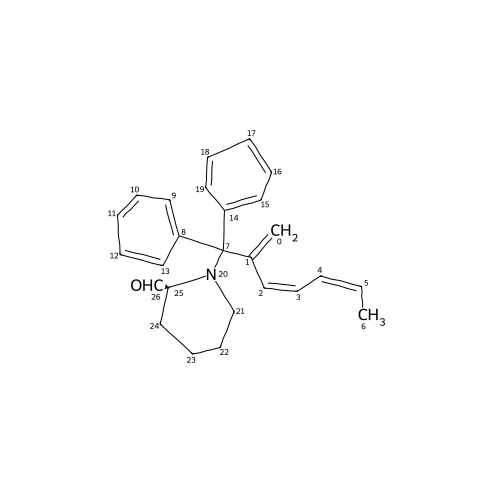 C=C(/C=C\C=C/C)C(c1ccccc1)(c1ccccc1)N1CCCC[C@H]1C=O